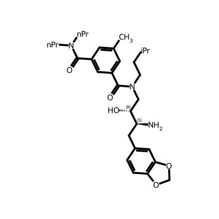 CCCN(CCC)C(=O)c1cc(C)cc(C(=O)N(CCC(C)C)C[C@@H](O)[C@@H](N)Cc2ccc3c(c2)OCO3)c1